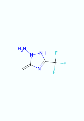 C=C1N=C(C(F)(F)F)NN1N